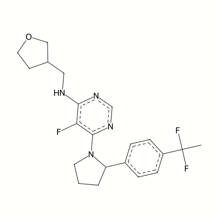 CC(F)(F)c1ccc(C2CCCN2c2ncnc(NCC3CCOC3)c2F)cc1